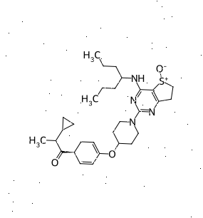 CCCC(CCC)Nc1nc(N2CCC(OC3=CC[C@H](C(=O)C(C)C4CC4)C=C3)CC2)nc2c1[S+]([O-])CC2